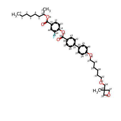 CCCCCC[C@@H](C)OC(=O)c1ccc(OC(=O)c2ccc(-c3ccc(OCCCCCCOCC4(C)COC4)cc3)cc2)c(F)c1